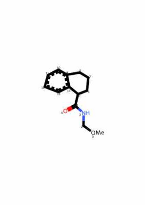 COCNC(=O)C1CCCc2ccccc21